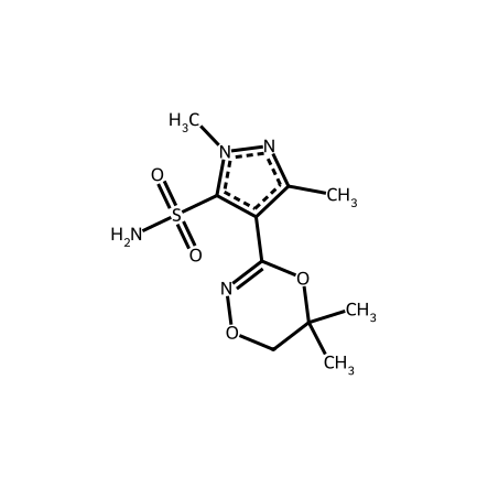 Cc1nn(C)c(S(N)(=O)=O)c1C1=NOCC(C)(C)O1